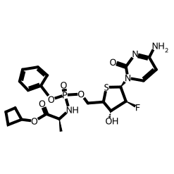 C[C@H](NP(=O)(OCC1S[C@@H](n2ccc(N)nc2=O)[C@@H](F)[C@@H]1O)Oc1ccccc1)C(=O)OC1CCC1